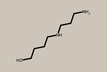 NCCCNCCCCO